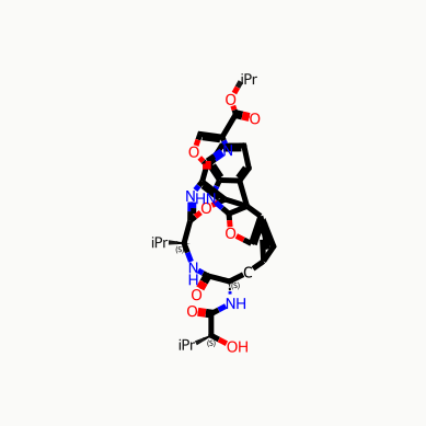 CC(C)OC(=O)c1coc(-c2nc3oc2C24c5ccccc5NC2Oc2ccc(cc24)C[C@H](NC(=O)[C@@H](O)C(C)C)C(=O)N[C@H]3C(C)C)n1